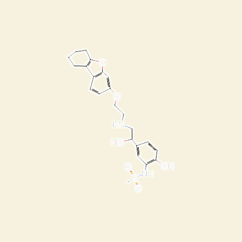 CS(=O)(=O)Nc1cc(C(O)CNCCOc2ccc3c4c(oc3c2)CCCC4)ccc1O